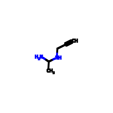 C#CCNC(C)N